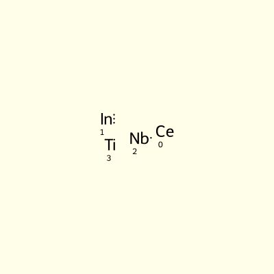 [Ce].[In].[Nb].[Ti]